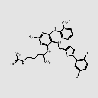 Cc1nc(Nc2ccccc2C(=O)O)c(NCc2ccc(-c3cc(Cl)ccc3Cl)o2)c(NC(CCCNC(=N)N)C(=O)O)n1